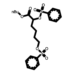 CCCCOC(=O)C(CCCCOS(=O)(=O)c1ccccc1)OS(=O)(=O)c1ccccc1